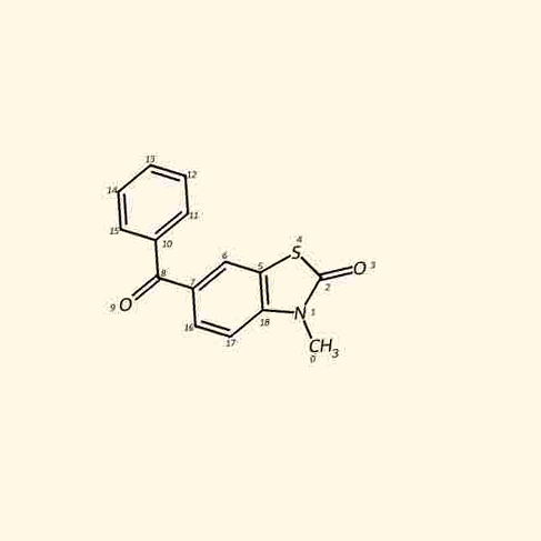 Cn1c(=O)sc2cc(C(=O)c3ccccc3)ccc21